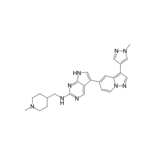 CN1CCC(CNc2ncc3c(-c4ccn5ncc(-c6cnn(C)c6)c5c4)c[nH]c3n2)CC1